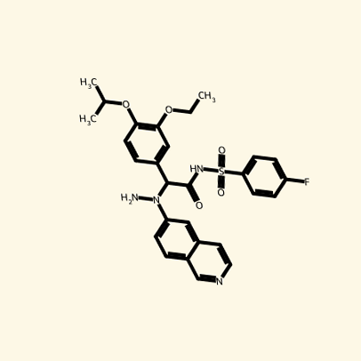 CCOc1cc(C(C(=O)NS(=O)(=O)c2ccc(F)cc2)N(N)c2ccc3cnccc3c2)ccc1OC(C)C